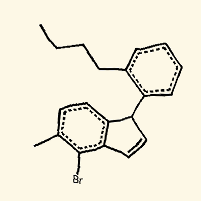 CCCCc1ccccc1C1C=Cc2c1ccc(C)c2Br